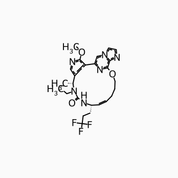 CCN1C(=O)N[C@@H](CCC(F)(F)F)/C=C\CCCOc2nc(cn3ccnc23)-c2cc(cnc2OC)[C@H]1C